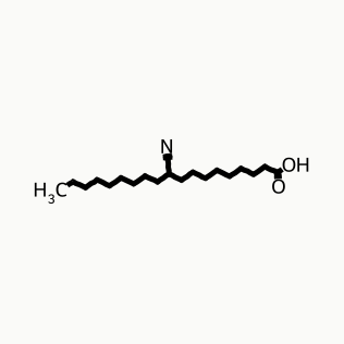 CCCCCCCCCC(C#N)CCCCCCCCC(=O)O